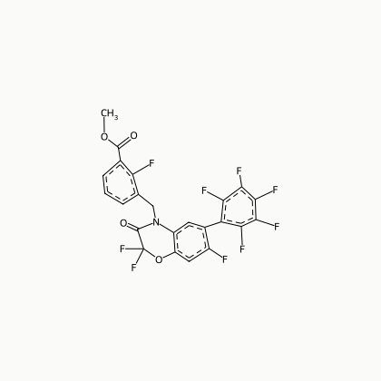 COC(=O)c1cccc(CN2C(=O)C(F)(F)Oc3cc(F)c(-c4c(F)c(F)c(F)c(F)c4F)cc32)c1F